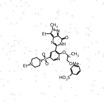 CCc1c2nc(-c3cc(S(=O)(=O)N4CCN(CC)CC4)cnc3O[C@H](C)COC)[nH]c(=O)c2nn1C.O=S(=O)(O)c1ccccc1